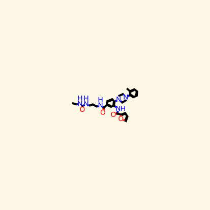 CCNC(=O)NCCCNC(=O)c1ccc(N2CCN(c3ccccc3C)CC2)c(NC(=O)c2ccco2)c1